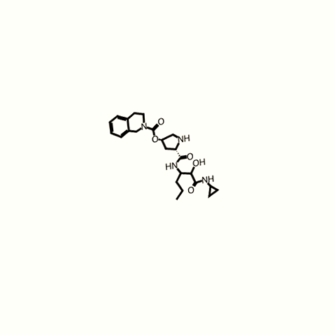 CCCC(NC(=O)[C@@H]1C[C@@H](OC(=O)N2CCc3ccccc3C2)CN1)C(O)C(=O)NC1CC1